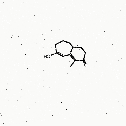 CC1=C2C=C(O)CCCC2CCC1=O